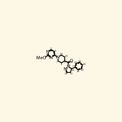 COc1nccc(N2CCC(C(=O)N3N=CCC3c3ccccc3)CC2)n1